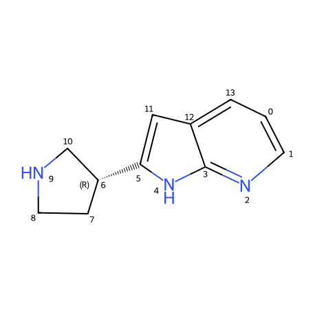 c1cnc2[nH]c([C@@H]3CCNC3)cc2c1